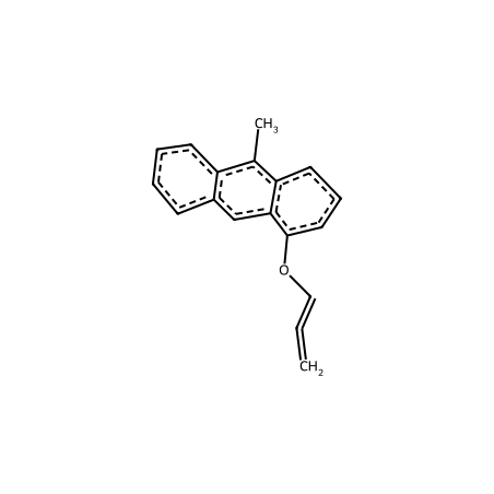 C=C=COc1cccc2c(C)c3ccccc3cc12